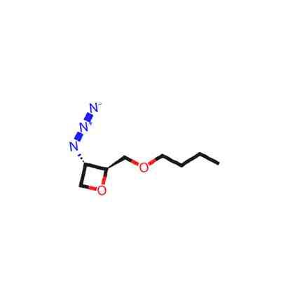 CCCCOC[C@H]1OC[C@@H]1N=[N+]=[N-]